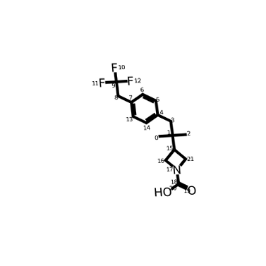 CC(C)(Cc1ccc(CC(F)(F)F)cc1)C1CN(C(=O)O)C1